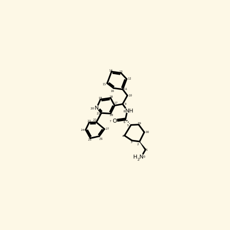 NC[C@H]1CC[C@H](C(=O)NC(Cc2ccccc2)c2ccnc(-c3ccccc3)c2)CC1